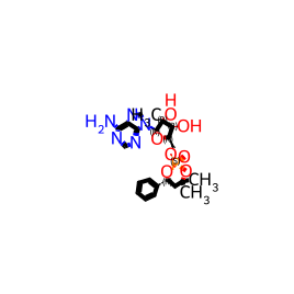 CC1(C)C[C@H](c2ccccc2)O[P@](=O)(OC[C@H]2O[C@@H](n3cnc4c(N)ncnc43)[C@](C)(O)[C@@H]2O)O1